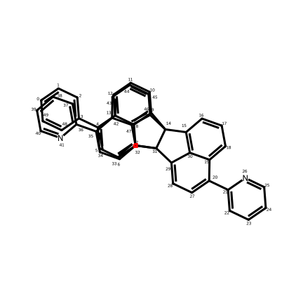 c1ccc(-c2ccc3c4c(cccc24)C24c5cccc6c(-c7ccccn7)ccc(c56)C32c2ccc(-c3ccccn3)c3cccc4c23)cc1